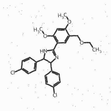 CCOCc1cc(C2=NC(c3ccc(Cl)cc3)C(c3ccc(Cl)cc3)N2)c(OC)cc1OC